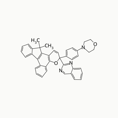 CC1(C)c2ccccc2-c2c1c1c(c3ccccc23)OC(c2ccc(N3CCOCC3)cc2)(c2ncc3ccccc3n2)C=C1